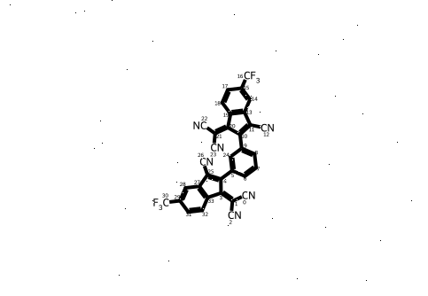 N#CC(C#N)=C1C(c2cccc(C3=C(C#N)c4cc(C(F)(F)F)ccc4C3=C(C#N)C#N)c2)=C(C#N)c2cc(C(F)(F)F)ccc21